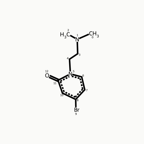 CN(C)CCn1ccc(Br)cc1=O